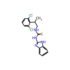 CC(CNC(=S)Nc1nc2ccccc2[nH]1)c1c(Cl)cccc1Cl